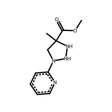 COC(=O)C1(C)CN(c2ccccn2)NN1